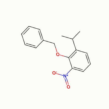 CC(C)c1cccc([N+](=O)[O-])c1OCc1ccccc1